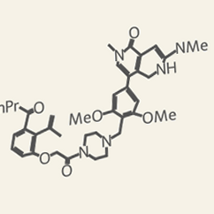 C=C(C)c1c(OCC(=O)N2CCN(Cc3c(OC)cc(-c4cn(C)c(=O)c5c4CNC(NC)=C5)cc3OC)CC2)cccc1C(=O)CCC